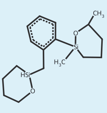 CC1CCC[Si](C)(c2ccccc2C[SiH]2CCCCO2)O1